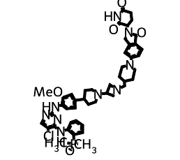 COc1cc(C2CCN(C3CN(CC4CCN(c5ccc6c(c5)CN(C5CCC(=O)NC5=O)C6=O)CC4)C3)CC2)ccc1Nc1ncc(Cl)c(Nc2ccccc2P(C)(C)=O)n1